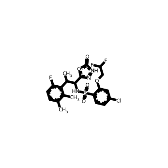 Cc1ccc(F)c(C(C)C(NS(=O)(=O)c2ccc(Cl)cc2OCC(F)F)c2n[nH]c(=O)o2)c1C